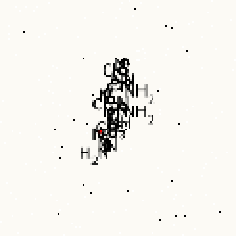 Cc1ncc(-c2nc(N)cnc2-c2ccc3c(=O)[nH]c(Cc4ncc(-c5nc(N)cnc5-c5cc(Cl)c6ncc(Cc7cnc(-c8nc(N)cnc8-c8cc(Cl)c9ncccc9c8)o7)cc6c5)o4)cc3c2)s1